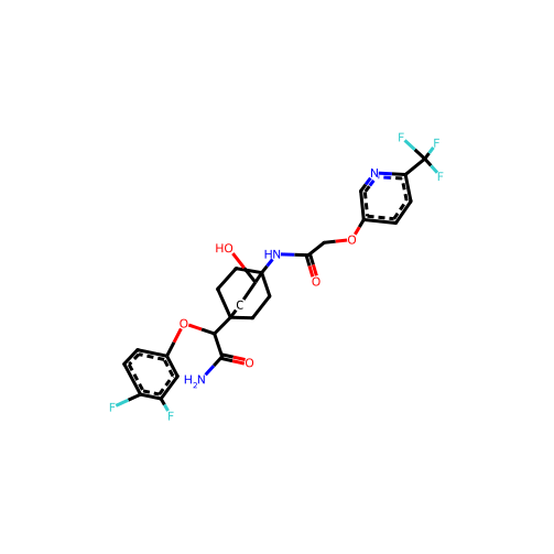 NC(=O)C(Oc1ccc(F)c(F)c1)C12CCC(NC(=O)COc3ccc(C(F)(F)F)nc3)(CC1)C(O)C2